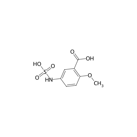 COc1ccc(NS(=O)(=O)O)cc1C(=O)O